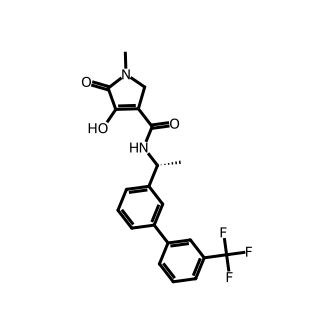 C[C@@H](NC(=O)C1=C(O)C(=O)N(C)C1)c1cccc(-c2cccc(C(F)(F)F)c2)c1